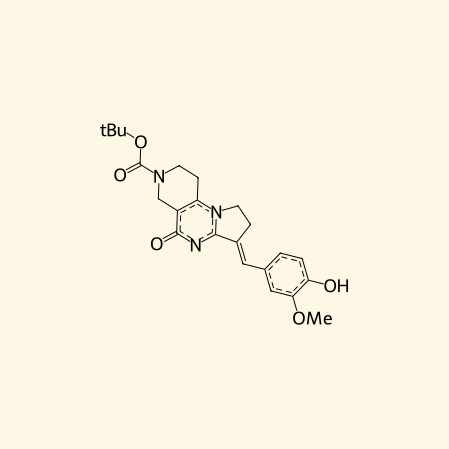 COc1cc(/C=C2\CCn3c2nc(=O)c2c3CCN(C(=O)OC(C)(C)C)C2)ccc1O